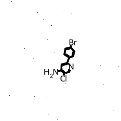 Nc1cc(-c2ccc(Br)cc2)ncc1Cl